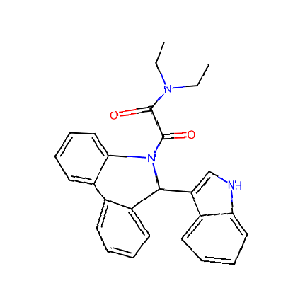 CCN(CC)C(=O)C(=O)N1c2ccccc2-c2ccccc2C1c1c[nH]c2ccccc12